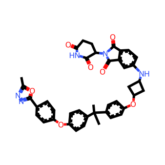 Cc1nnc(-c2ccc(Oc3ccc(C(C)(C)c4ccc(OC5CC(Nc6ccc7c(c6)C(=O)N(C6CCC(=O)NC6=O)C7=O)C5)cc4)cc3)cc2)o1